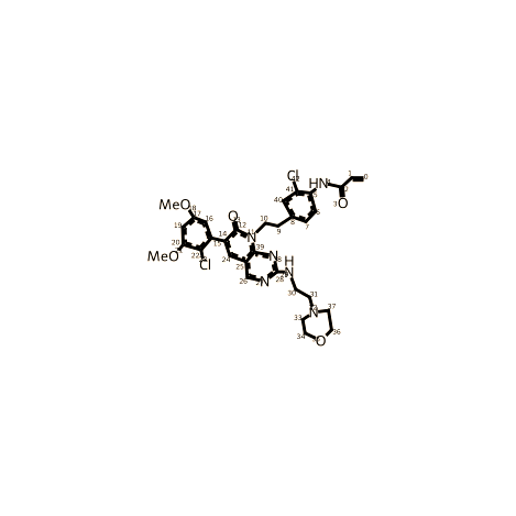 C=CC(=O)Nc1ccc(CCn2c(=O)c(-c3cc(OC)cc(OC)c3Cl)cc3cnc(NCCN4CCOCC4)nc32)cc1Cl